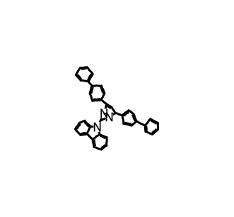 C1=C(c2ccc(-c3ccccc3)cc2)N2C(n3c4ccccc4c4ccccc43)N2C1c1ccc(-c2ccccc2)cc1